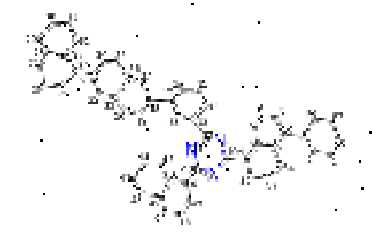 c1ccc(-c2cccc3c(-c4nc(-c5cccc(-c6ccc7cc(-c8cccc9ccccc89)ccc7c6)c5)nc(-c5cccc6ccccc56)n4)cccc23)cc1